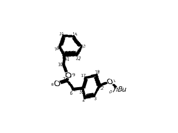 CCCCOc1ccc(CC(=O)OCc2ccccc2)cc1